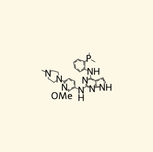 COc1nc(N2CCN(C)CC2)ccc1Nc1nc(Nc2ccccc2P(C)C)c2cc[nH]c2n1